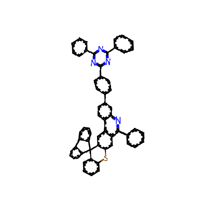 c1ccc(-c2nc(-c3ccccc3)nc(-c3ccc(-c4ccc5c(c4)nc(-c4ccccc4)c4cc6c(cc45)C4(c5ccccc5S6)c5ccccc5-c5ccccc54)cc3)n2)cc1